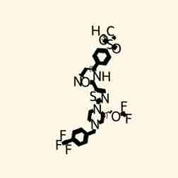 CCS(=O)(=O)c1ccc([C@H](CC#N)NC(=O)c2cnc(N3CCN(Cc4ccc(C(F)(F)F)cc4)C[C@H]3COC(F)F)s2)cc1